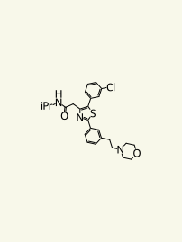 CC(C)NC(=O)Cc1nc(-c2cccc(CCN3CCOCC3)c2)sc1-c1cccc(Cl)c1